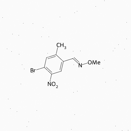 CO/N=C/c1cc([N+](=O)[O-])c(Br)cc1C